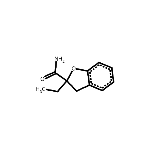 CCC1(C(N)=O)Cc2ccccc2O1